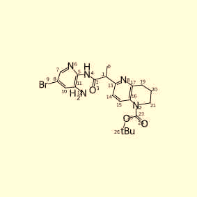 CC(C(=O)Nc1ncc(Br)cc1N)c1ccc2c(n1)CCCN2C(=O)OC(C)(C)C